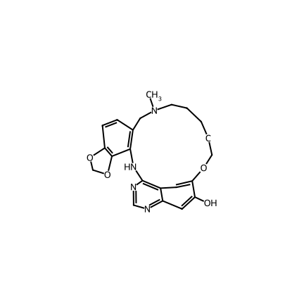 CN1CCCCCOc2cc3c(ncnc3cc2O)Nc2c(ccc3c2OCO3)C1